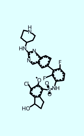 COc1c(Cl)cc2c(c1S(=O)(=O)Nc1ccc(F)c(-c3ccc4nc(NC5CCNCC5)ncc4c3)c1F)CCC2O